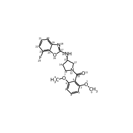 COc1cccc(OC)c1C(=O)N1CC[C@@H](Nc2nc3cccc(F)c3o2)C1